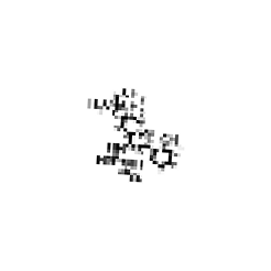 CCC(C)(C)Oc1ccc2nc(-c3ccccc3C)cc(NC(=N)NC=O)c2c1